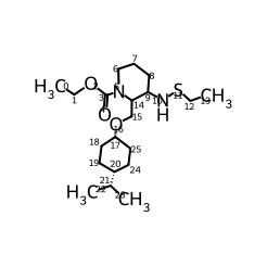 CCOC(=O)N1CCCC(NSCC)C1CO[C@H]1CC[C@@H](C(C)C)CC1